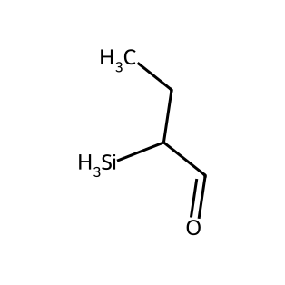 CCC([SiH3])C=O